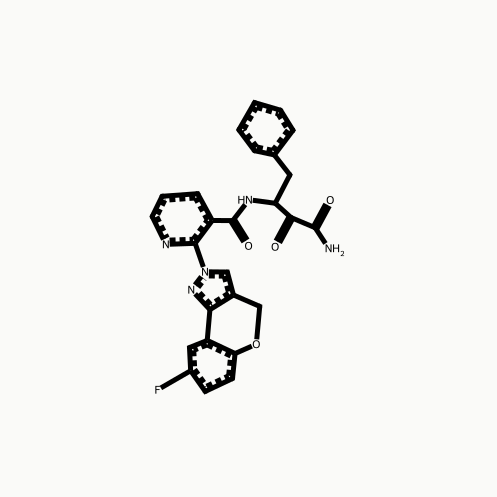 NC(=O)C(=O)C(Cc1ccccc1)NC(=O)c1cccnc1-n1cc2c(n1)-c1cc(F)ccc1OC2